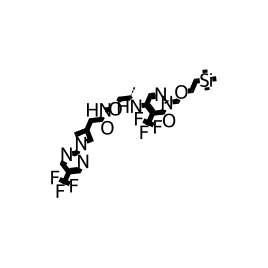 C[C@@H](CONC(=O)CC1CN(c2ncc(C(F)(F)F)cn2)C1)Nc1cnn(COCC[Si](C)(C)C)c(=O)c1C(F)(F)F